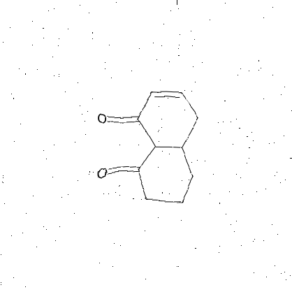 O=C1C=CCC2CCCC(=O)C12